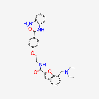 CCN(CC)Cc1cccc2cc(C(=O)NCCOc3ccc(C(=O)Nc4ccccc4N)cc3)oc12